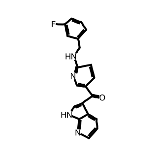 O=C(c1ccc(NCc2cccc(F)c2)nc1)c1c[nH]c2ncccc12